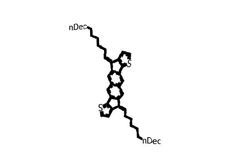 CCCCCCCCCCCCCCCC=C1c2cc3cc4c(cc3cc2-c2sccc21)C(=CCCCCCCCCCCCCCCC)c1ccsc1-4